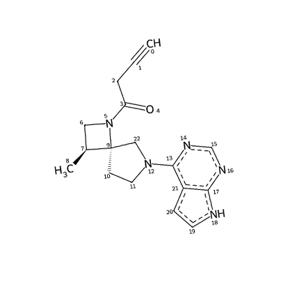 C#CCC(=O)N1C[C@H](C)[C@@]12CCN(c1ncnc3[nH]ccc13)C2